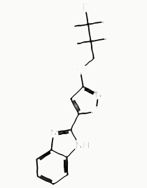 FC(F)(F)C(F)(F)COc1cc(-c2nc3ccccc3[nH]2)on1